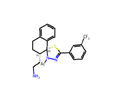 CC(=O)N1N=C(c2cccc(C(F)(F)F)c2)S[C@]12c1ccccc1CC[C@H]2CCN